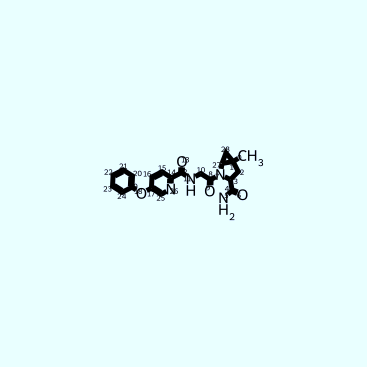 CC12CC(C(N)=O)N(C(=O)CNC(=O)c3ccc(Oc4ccccc4)cn3)C1C2